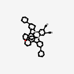 N#Cc1cc(-n2c3ccc(-c4ccccc4)cc3c3c4ccccc4ccc32)c(-n2c3ccc(-c4ccccc4)cc3c3c4ccccc4ccc32)cc1C#N